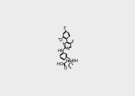 CCS(C)(O)(Cc1cccc(Nc2ncc(F)c(-c3ccc(F)cc3OC)n2)c1)=NC(=O)O